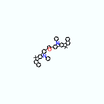 CC1(C)c2cc3c4ccc(-c5ccc(-c6ccc7c8cc9c(cc8n(-c8ccccc8)c7c6)-c6c(ccc7ccccc67)C9(C)C)o5)cc4n(-c4ccccc4)c3cc2-c2c1ccc1ccccc21